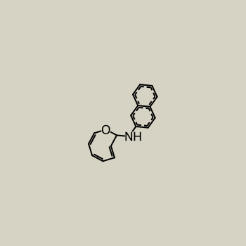 C1=C\C=C\C(Nc2ccc3ccccc3c2)O\C=C/1